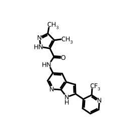 Cc1n[nH]c(C(=O)Nc2cnc3[nH]c(-c4cccnc4C(F)(F)F)cc3c2)c1C